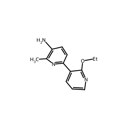 CCOc1ncccc1-c1ccc(N)c(C)n1